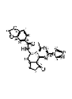 Cc1nc(C2C(=O)CCC2CCNC(=O)c2ccc3c(c2)OCO3)nc(-n2ccnc2)n1